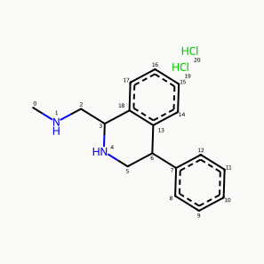 CNCC1NCC(c2ccccc2)c2ccccc21.Cl.Cl